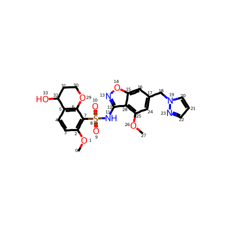 COc1ccc2c(c1S(=O)(=O)Nc1noc3cc(Cn4cccn4)cc(OC)c13)OCCC2O